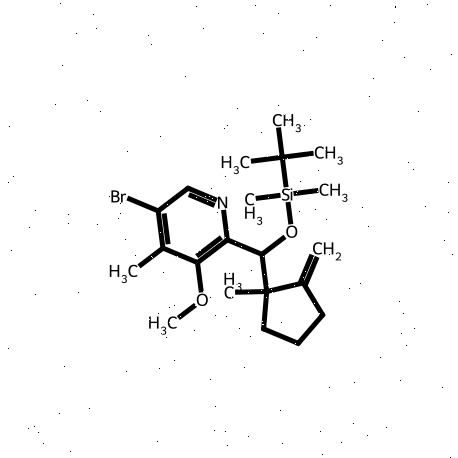 C=C1CCCC1(C)C(O[Si](C)(C)C(C)(C)C)c1ncc(Br)c(C)c1OC